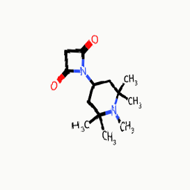 CN1C(C)(C)CC(N2C(=O)CC2=O)CC1(C)C